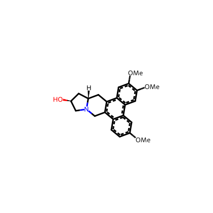 COc1ccc2c3c(c4cc(OC)c(OC)cc4c2c1)C[C@H]1C[C@H](O)CN1C3